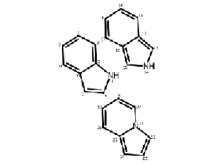 c1ccc2[nH]ccc2c1.c1ccc2c[nH]cc2c1.c1ccn2cccc2c1